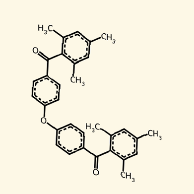 Cc1cc(C)c(C(=O)c2ccc(Oc3ccc(C(=O)c4c(C)cc(C)cc4C)cc3)cc2)c(C)c1